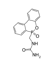 NC(=O)NCP1(=O)Oc2ccccc2-c2ccccc21